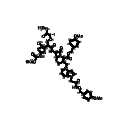 BOC(=O)[C@H](C)O/N=C(\C(=O)NC1C(=O)N2C(C(=O)OCc3ccc(OC)cc3)=C(C[n+]3cccc4c3ccn4CC(=O)NOCc3ccc(OC)cc3)CSC12)c1nc(NC(=O)OC(C)(C)C)sc1Cl